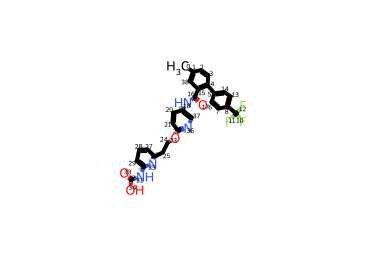 Cc1ccc(-c2ccc(C(F)(F)F)cc2)c(C(=O)Nc2ccc(OCCc3cccc(NC(=O)O)n3)nc2)c1